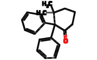 CC1(C)CCCC(=O)C1(c1ccccc1)c1ccccc1